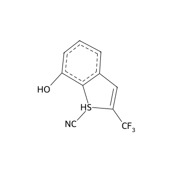 N#C[SH]1C(C(F)(F)F)=Cc2cccc(O)c21